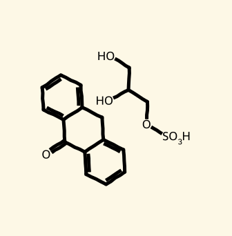 O=C1c2ccccc2Cc2ccccc21.O=S(=O)(O)OCC(O)CO